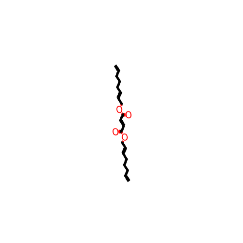 C=CCCC/C=C/COC(=O)/C=C/C(=O)OC/C=C/CCCC=C